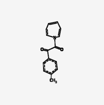 Cc1ccc(C(=O)C(=O)N2C=CC=CC=C2)cc1